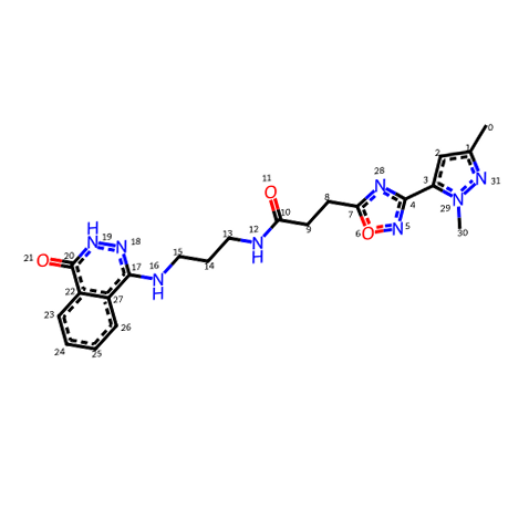 Cc1cc(-c2noc(CCC(=O)NCCCNc3n[nH]c(=O)c4ccccc34)n2)n(C)n1